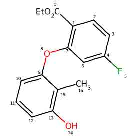 CCOC(=O)c1ccc(F)cc1Oc1cccc(O)c1C